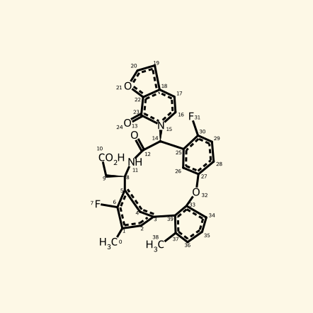 Cc1cc2cc(c1F)[C@@H](CC(=O)O)NC(=O)[C@@H](n1ccc3ccoc3c1=O)c1cc(ccc1F)Oc1cccc(C)c1-2